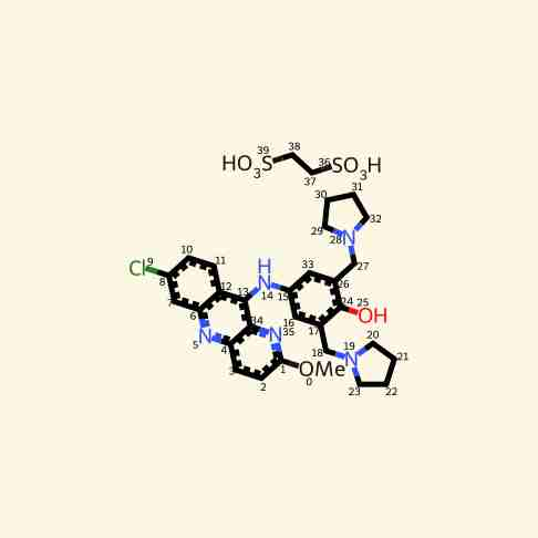 COc1ccc2nc3cc(Cl)ccc3c(Nc3cc(CN4CCCC4)c(O)c(CN4CCCC4)c3)c2n1.O=S(=O)(O)CCS(=O)(=O)O